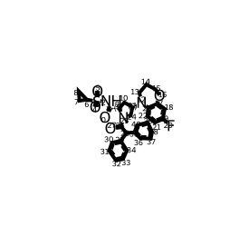 O=C(NS(=O)(=O)C1CC1)[C@@H]1C[C@H](N2CCCOc3cc(F)ccc32)CN1C(=O)C(c1ccccc1)c1ccccc1